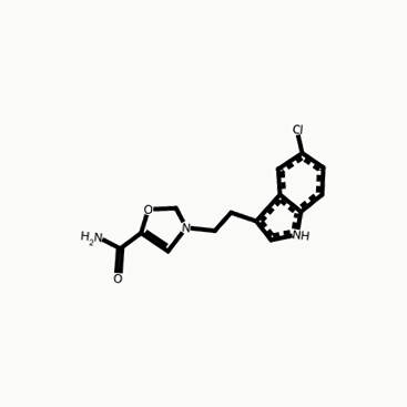 NC(=O)C1=CN(CCc2c[nH]c3ccc(Cl)cc23)CO1